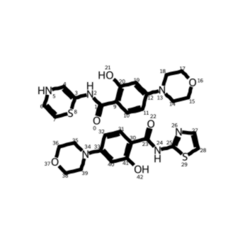 O=C(NC1=CNC=CS1)c1ccc(N2CCOCC2)cc1O.O=C(Nc1nccs1)c1ccc(N2CCOCC2)cc1O